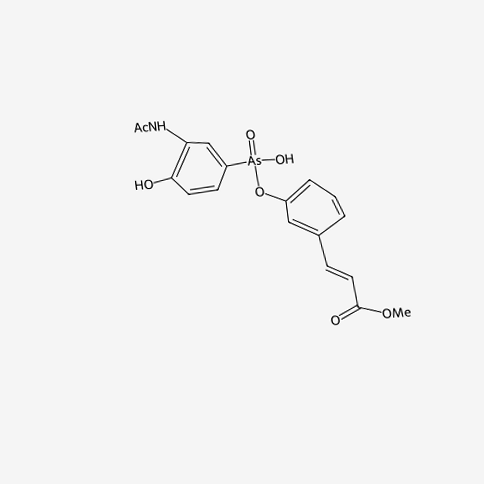 COC(=O)/C=C/c1cccc(O[As](=O)(O)c2ccc(O)c(NC(C)=O)c2)c1